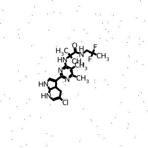 Cc1nc(C2=CNC3NC=C(Cl)CC23)nc(NC(C)(C)C(=O)NCC(C)(F)F)c1C